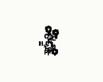 CN(CCOc1ccccc1OC(F)(F)F)CC1CCc2ccccc2N1C(=O)C1CCCCC1